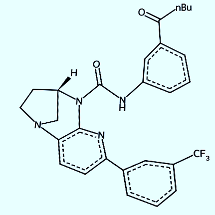 CCCCC(=O)c1cccc(NC(=O)N2c3nc(-c4cccc(C(F)(F)F)c4)ccc3N3CC[C@H]2C3)c1